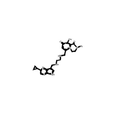 CC(C)N1CCn2c(CNCCNCc3c[nH]c4ncc(C5CC5)nc34)cc(=O)c(O)c2C1=O